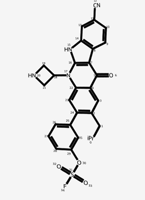 CC(C)Cc1cc2c(=O)c3c4ccc(C#N)cc4[nH]c3n(C3CNC3)c2cc1-c1cccc(OS(=O)(=O)F)c1